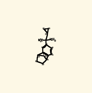 CC(C)(c1cc2c(nn1)C1CCC2C1)C1CC1